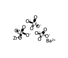 [Ba+2].[O]=[Cr](=[O])([O-])[O-].[O]=[Cr](=[O])([O-])[O-].[O]=[Cr](=[O])([O-])[O-].[Zr+4]